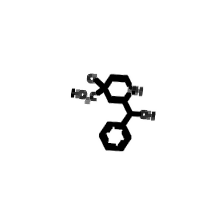 O=C(O)C1(Cl)C=CNC(C(O)c2ccccc2)=C1